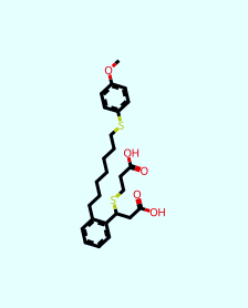 COc1ccc(SCCCCCCCc2ccccc2C(CC(=O)O)SCCC(=O)O)cc1